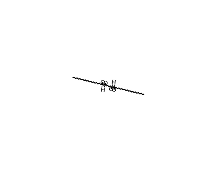 CCCCCCCCC=CCCCCCCCCCCCC(=O)NC(=O)CCCCC(=O)NC(=O)CCCCCCCCCCCC=CCCCCCCCC